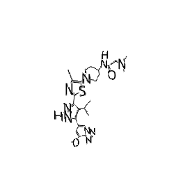 COc1cc(-c2[nH]nc(-c3nc(C)c(N4CCC(NC(=O)CN(C)C)CC4)s3)c2C(C)C)cn2ncnc12